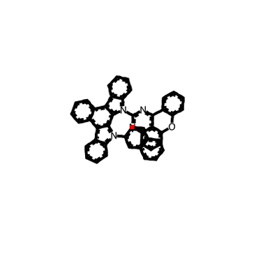 c1ccc2c(c1)Oc1cccc3nc(-n4c5ccccc5c5c6ccccc6c6c7ccccc7n(-c7ccc8ccccc8c7)c6c54)nc-2c13